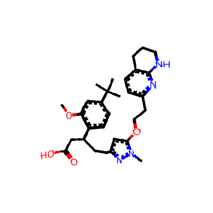 COc1cc(C(C)(C)C)ccc1C(CC(=O)O)Cc1cc(OCCc2ccc3c(n2)NCCC3)n(C)n1